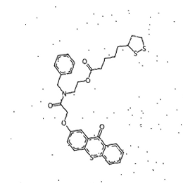 O=C(CCCCC1CCSS1)OCCN(Cc1ccccc1)C(=O)COc1ccc2sc3ccccc3c(=O)c2c1